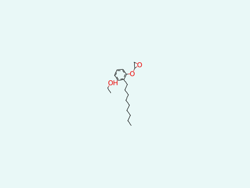 CCCCCCCCCc1ccccc1OC1CO1.CCO